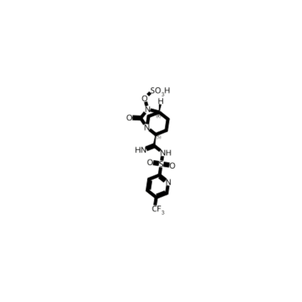 N=C(NS(=O)(=O)c1ccc(C(F)(F)F)cn1)[C@@H]1CC[C@@H]2CN1C(=O)N2OS(=O)(=O)O